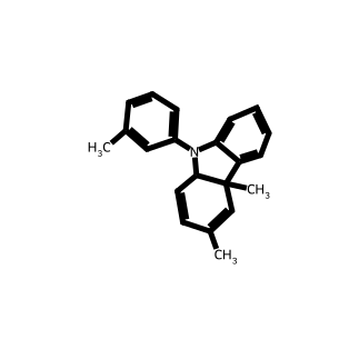 CC1=CC2(C)c3ccccc3N(c3cccc(C)c3)C2C=C1